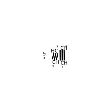 C#C.C#C.[Si]